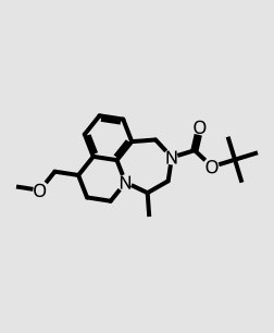 COCC1CCN2c3c(cccc31)CN(C(=O)OC(C)(C)C)CC2C